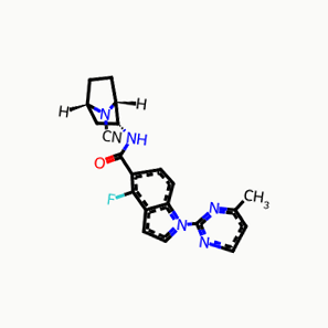 Cc1ccnc(-n2ccc3c(F)c(C(=O)N[C@@H]4C[C@@H]5CC[C@H]4N5C#N)ccc32)n1